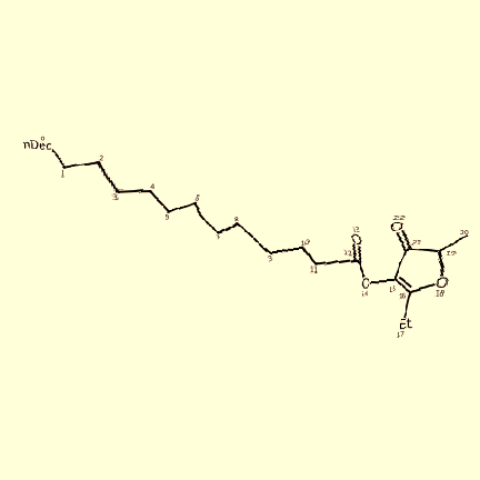 CCCCCCCCCCCCCCCCCCCCCC(=O)OC1=C(CC)OC(C)C1=O